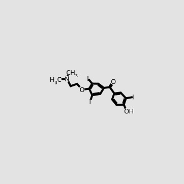 CN(C)CCOc1c(I)cc(C(=O)c2ccc(O)c(I)c2)cc1I